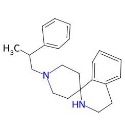 CC(CN1CCC2(CC1)NCCc1ccccc12)c1ccccc1